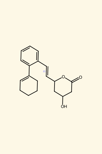 O=C1CC(O)CC(/C=C/c2ccccc2C2=CCCCC2)O1